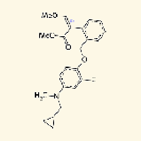 CO/C=C(\C(=O)OC)c1ccccc1COc1ccc(N(C)CC2CC2)cc1F